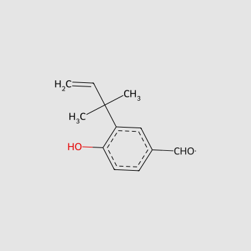 C=CC(C)(C)c1cc([C]=O)ccc1O